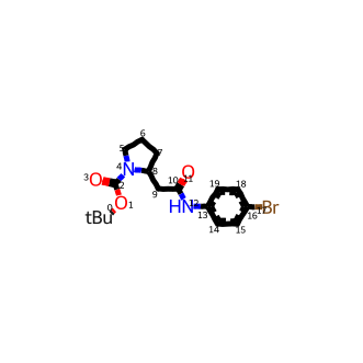 CC(C)(C)OC(=O)N1CCCC1CC(=O)Nc1ccc(Br)cc1